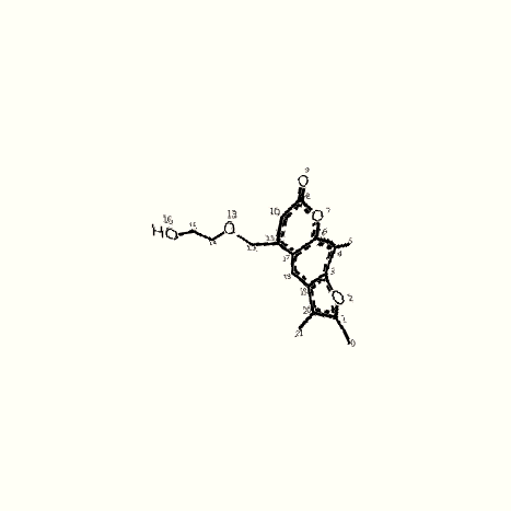 Cc1oc2c(C)c3oc(=O)cc(COCCO)c3cc2c1C